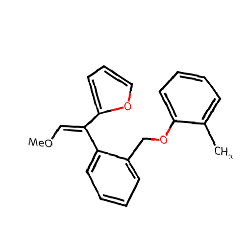 CO/C=C(/c1ccco1)c1ccccc1COc1ccccc1C